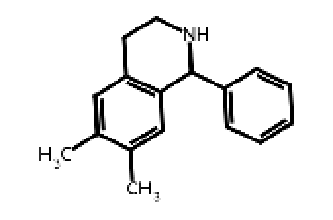 Cc1cc2c(cc1C)C(c1ccccc1)NCC2